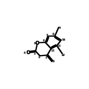 C=C1CC(=O)Oc2cc(C)cc(C)c21